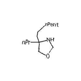 CCCCCCC1(CCC)COCN1